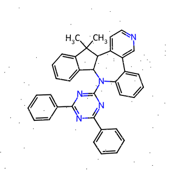 CC1(C)c2ccccc2C2C1c1ccncc1-c1ccccc1N2c1nc(-c2ccccc2)nc(-c2ccccc2)n1